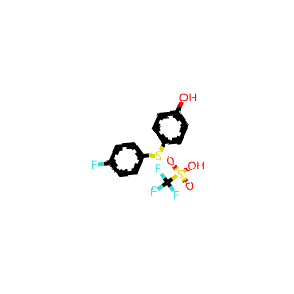 O=S(=O)(O)C(F)(F)F.Oc1ccc(Sc2ccc(F)cc2)cc1